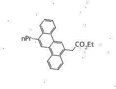 CCCc1cc2c3ccccc3c(CC(=O)OCC)cc2c2ccccc12